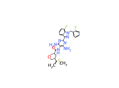 C=C(SC)C1COCC(C(=O)Nc2c(N)nc(-c3nn(Cc4ccccc4F)c4c(F)cccc34)nc2N)C1